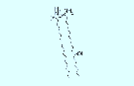 CCCCCCC(O)CCCCCCCCCCC(N)=O.CCCCCCCCCCCCCCCCCC(N)=O